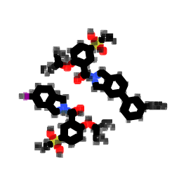 COc1cccc(-c2ccc3c(c2)CN(C(=O)c2cc(S(C)(=O)=O)ccc2OC(C)C(F)(F)F)C3)c1.C[C@H](Oc1ccc(S(C)(=O)=O)cc1C(=O)N1Cc2ccc(I)cc2C1)C(F)(F)F